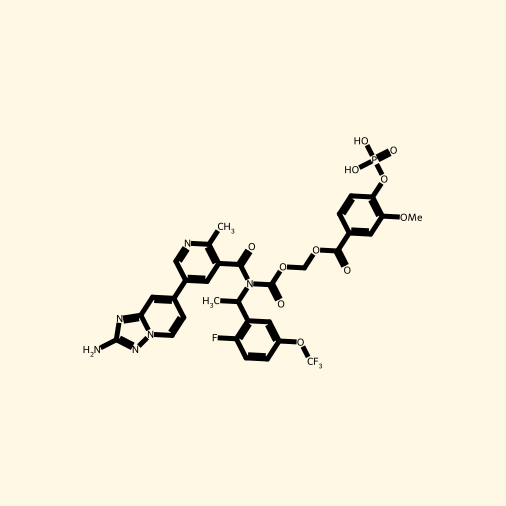 COc1cc(C(=O)OCOC(=O)N(C(=O)c2cc(-c3ccn4nc(N)nc4c3)cnc2C)C(C)c2cc(OC(F)(F)F)ccc2F)ccc1OP(=O)(O)O